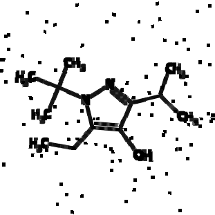 CCc1c(O)c(C(C)C)nn1C(C)(C)C